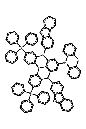 c1ccc([Si](c2ccccc2)(c2ccccc2)c2ccc3c(c2)N(c2ccc4c(c2)oc2ccccc24)c2cc(N4c5ccccc5Sc5ccccc54)cc4c2B3c2ccc([Si](c3ccccc3)(c3ccccc3)c3ccccc3)cc2N4c2ccc3c(c2)oc2ccccc23)cc1